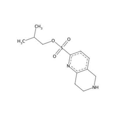 CC(C)COS(=O)(=O)c1ccc2c(n1)CCNC2